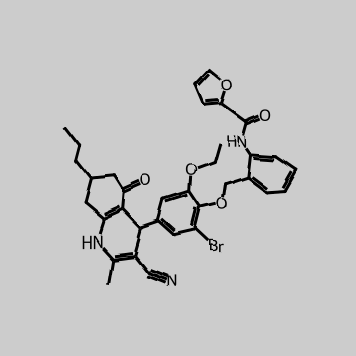 CCCC1CC(=O)C2=C(C1)NC(C)=C(C#N)C2c1cc(Br)c(OCc2ccccc2NC(=O)c2ccco2)c(OCC)c1